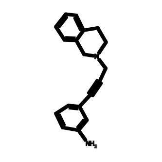 Nc1cccc(C#CCN2CCc3ccccc3C2)c1